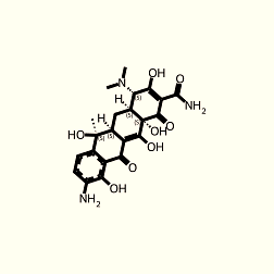 CN(C)[C@@H]1C(O)=C(C(N)=O)C(=O)[C@@]2(O)C(O)=C3C(=O)c4c(ccc(N)c4O)[C@@](C)(O)[C@H]3C[C@@H]12